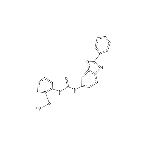 COc1ccccc1NC(=O)Nc1ccc2nc(-c3ccccc3)oc2c1